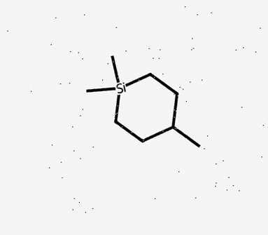 CC1CC[Si](C)(C)CC1